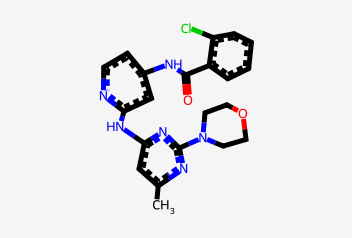 Cc1cc(Nc2cc(NC(=O)c3ccccc3Cl)ccn2)nc(N2CCOCC2)n1